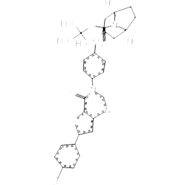 CC(C)(C)OC(=O)N1[C@@H]2CC[C@H]1C[C@H](Oc1ccc(-n3cnc4cc(-c5ccc(Cl)cc5)sc4c3=O)cc1)C2